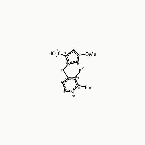 COc1cc(C(=O)O)n(Cc2ccnc(F)c2F)c1